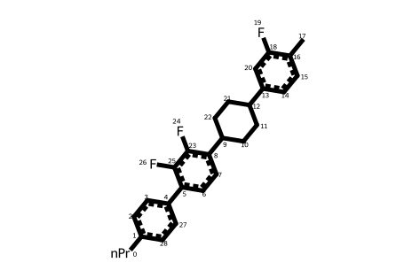 CCCc1ccc(-c2ccc(C3CCC(c4ccc(C)c(F)c4)CC3)c(F)c2F)cc1